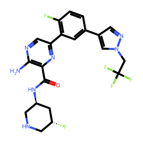 Nc1ncc(-c2cc(-c3cnn(CC(F)(F)F)c3)ccc2F)nc1C(=O)N[C@@H]1CNC[C@@H](F)C1